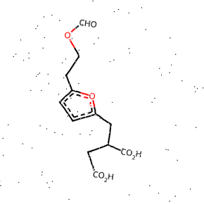 O=COCCc1ccc(CC(CC(=O)O)C(=O)O)o1